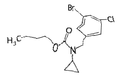 CCCCOC(=O)N(Cc1cc(Cl)cc(Br)c1)C1CC1